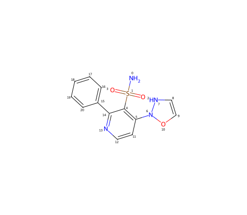 NS(=O)(=O)c1c(N2NC=CO2)ccnc1-c1ccccc1